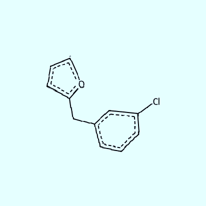 Clc1cccc(Cc2cc[c]o2)c1